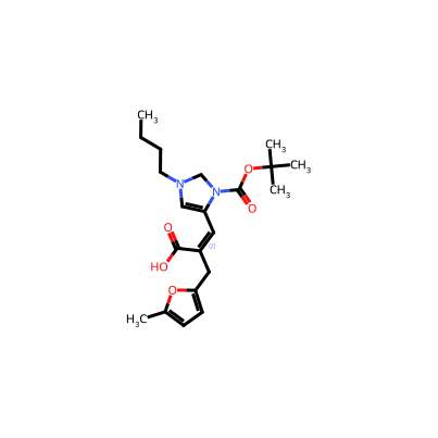 CCCCN1C=C(/C=C(/Cc2ccc(C)o2)C(=O)O)N(C(=O)OC(C)(C)C)C1